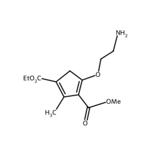 CCOC(=O)C1=C(C)C(C(=O)OC)=C(OCCN)C1